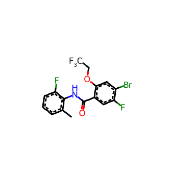 Cc1cccc(F)c1NC(=O)c1cc(F)c(Br)cc1OCC(F)(F)F